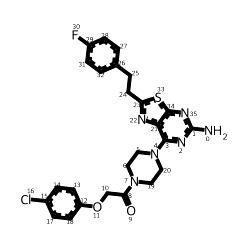 Nc1nc(N2CCN(C(=O)COc3ccc(Cl)cc3)CC2)c2nc(CCc3ccc(F)cc3)sc2n1